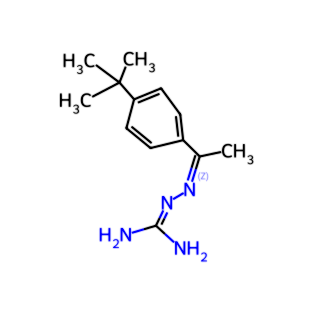 C/C(=N/N=C(N)N)c1ccc(C(C)(C)C)cc1